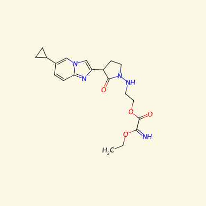 CCOC(=N)C(=O)OCCNN1CCC(c2cn3cc(C4CC4)ccc3n2)C1=O